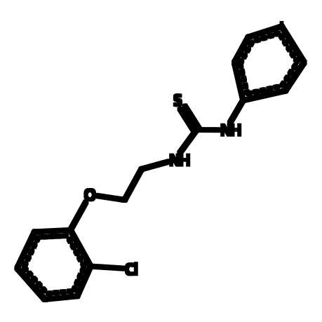 S=C(NCCOc1ccccc1Cl)Nc1cc[c]cc1